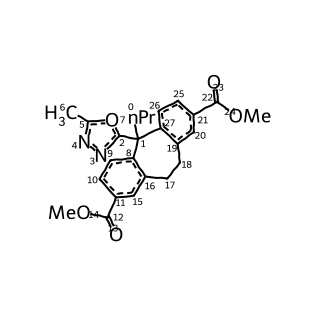 CCCC1(c2nnc(C)o2)c2ccc(C(=O)OC)cc2CCc2cc(C(=O)OC)ccc21